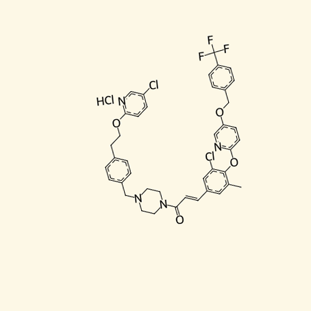 Cc1cc(C=CC(=O)N2CCN(Cc3ccc(CCOc4ccc(Cl)cn4)cc3)CC2)cc(Cl)c1Oc1ccc(OCc2ccc(C(F)(F)F)cc2)cn1.Cl